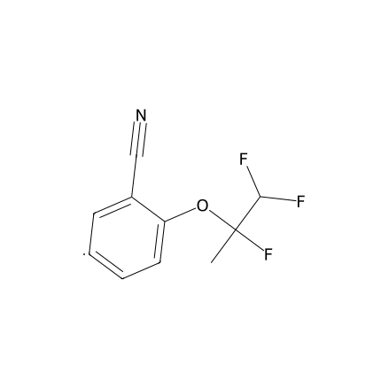 CC(F)(Oc1cc[c]cc1C#N)C(F)F